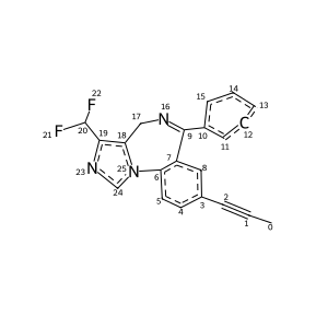 CC#Cc1ccc2c(c1)C(c1ccccc1)=NCc1c(C(F)F)ncn1-2